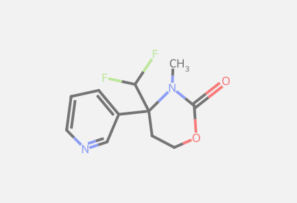 CN1C(=O)OCCC1(c1cccnc1)C(F)F